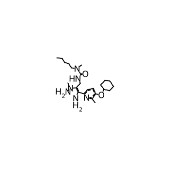 CCCCCN(C)C(=O)NC/C(=C(/N)c1ccc(OC2CCCCC2)c(C)n1)N(C)N